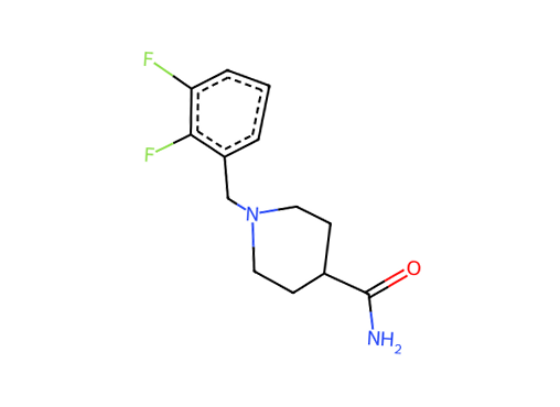 NC(=O)C1CCN(Cc2cccc(F)c2F)CC1